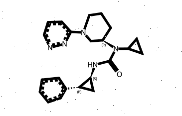 O=C(N[C@H]1C[C@@H]1c1ccccc1)N(C1CC1)[C@@H]1CCCN(c2cccnn2)C1